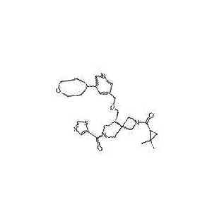 CC1(C)C[C@@H]1C(=O)N1CC2(CN(C(=O)c3cncs3)C[C@H]2COCc2cncc(C3CCOCC3)c2)C1